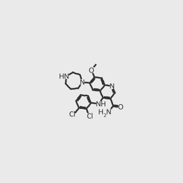 COc1cc2ncc(C(N)=O)c(Nc3cccc(Cl)c3Cl)c2cc1N1CCCNCC1